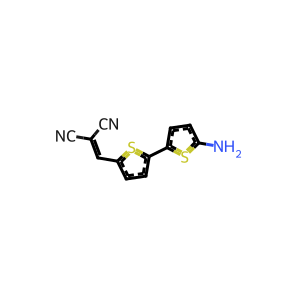 N#CC(C#N)=Cc1ccc(-c2ccc(N)s2)s1